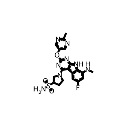 CNc1cc(F)cc2c1[nH]c1nc(Oc3cnc(C)nc3)nc(N3CCC(S(N)(=O)=O)C3)c12